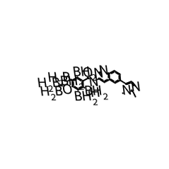 Bc1c(B)c(C(=O)Nc2cc3cc(-c4cnc(C)n4C)ccc3nn2)c(B)c(B)c1OC(B)(B)B